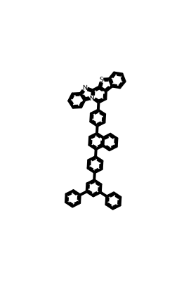 c1ccc(-c2cc(-c3ccccc3)cc(-c3ccc(-c4ccc(-c5ccc(-c6cc7c8ccccc8sc7c7nc8ccccc8n67)cc5)c5ccccc45)cc3)c2)cc1